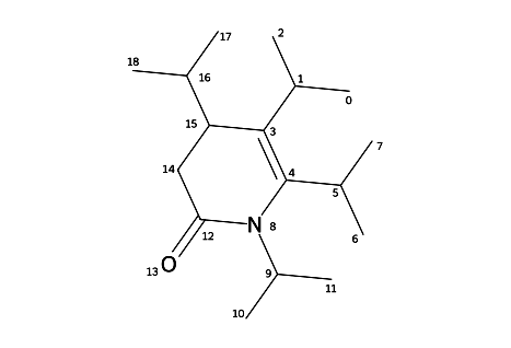 CC(C)C1=C(C(C)C)N(C(C)C)C(=O)CC1C(C)C